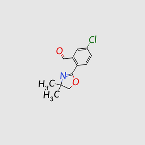 CC1(C)COC(c2ccc(Cl)cc2C=O)=N1